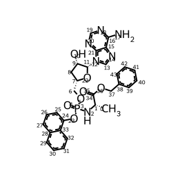 C[C@H](NP(=O)(OC[C@@H]1C[C@H](O)[C@H](n2cnc3c(N)ncnc32)O1)Oc1cccc2ccccc12)C(=O)OCc1ccccc1